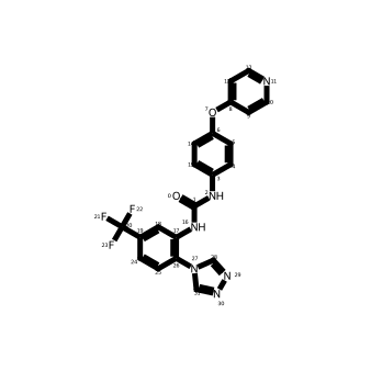 O=C(Nc1ccc(Oc2ccncc2)cc1)Nc1cc(C(F)(F)F)ccc1-n1cnnc1